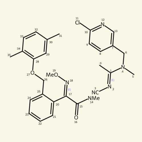 C/C(=N\C#N)N(C)Cc1ccc(Cl)nc1.CNC(=O)/C(=N/OC)c1ccccc1COc1cc(C)ccc1C